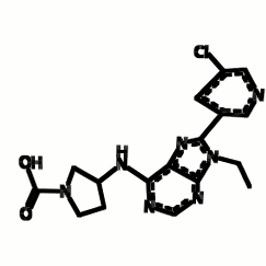 CCn1c(-c2cncc(Cl)c2)nc2c(NC3CCN(C(=O)O)C3)ncnc21